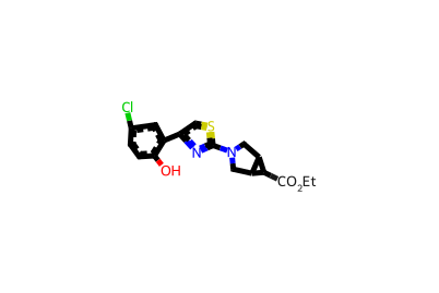 CCOC(=O)C1C2CN(c3nc(-c4cc(Cl)ccc4O)cs3)CC21